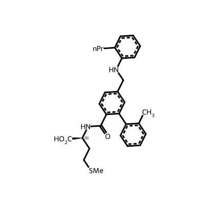 CCCc1ccccc1NCc1ccc(C(=O)N[C@@H](CCSC)C(=O)O)c(-c2ccccc2C)c1